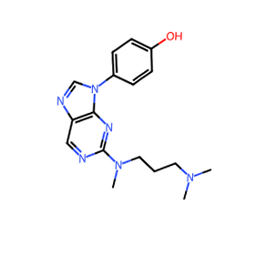 CN(C)CCCN(C)c1ncc2ncn(-c3ccc(O)cc3)c2n1